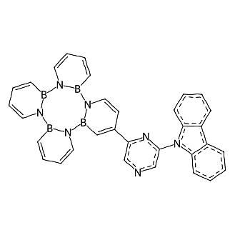 C1=CB2N(C=C1)B1C=CC=CN1B1C=C(c3cncc(-n4c5ccccc5c5ccccc54)n3)C=CN1B1C=CC=CN21